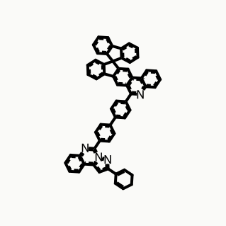 C1=CC(c2cc3c4ccccc4nc(-c4ccc(-c5ccc(-c6nc7ccccc7c7cc8c(cc67)-c6ccccc6C86c7ccccc7-c7ccccc76)cc5)cc4)n3n2)=CCC1